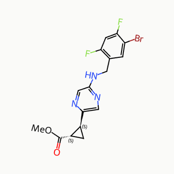 COC(=O)[C@H]1C[C@@H]1c1cnc(NCc2cc(Br)c(F)cc2F)cn1